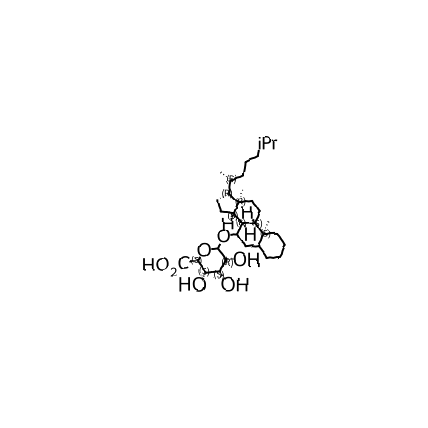 CC(C)CCC[C@@H](C)[C@H]1CC[C@H]2[C@@H]3C(OC4O[C@H](C(=O)O)[C@@H](O)[C@H](O)[C@H]4O)CC4CCCC[C@]4(C)[C@H]3CC[C@]12C